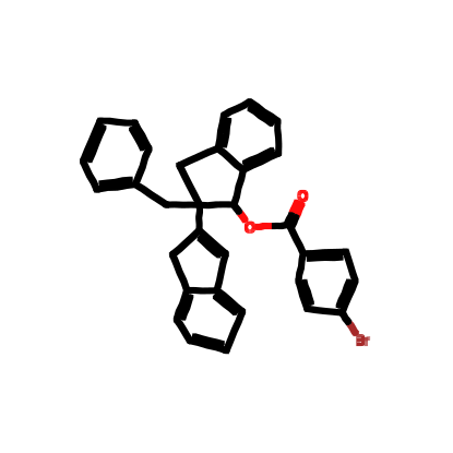 O=C(OC1c2ccccc2CC1(Cc1ccccc1)C1=Cc2ccccc2C1)c1ccc(Br)cc1